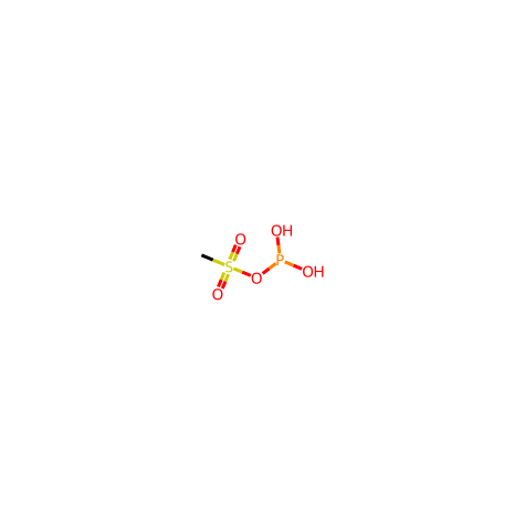 CS(=O)(=O)OP(O)O